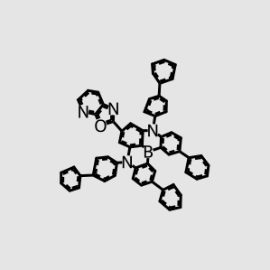 c1ccc(-c2ccc(N3c4ccc(-c5ccccc5)cc4B4c5cc(-c6ccccc6)ccc5N(c5ccc(-c6ccccc6)cc5)c5cc(-c6nc7cccnc7o6)cc3c54)cc2)cc1